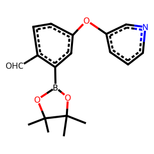 CC1(C)OB(c2cc(Oc3cccnc3)ccc2C=O)OC1(C)C